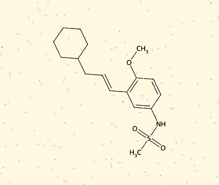 COc1ccc(NS(C)(=O)=O)cc1C=CCC1CCCCC1